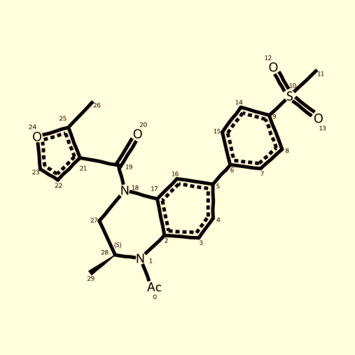 CC(=O)N1c2ccc(-c3ccc(S(C)(=O)=O)cc3)cc2N(C(=O)c2ccoc2C)C[C@@H]1C